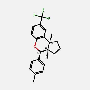 Cc1ccc([C@H]2Oc3ccc(C(F)(F)F)cc3[C@H]3CCC[C@H]32)cc1